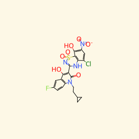 O=c1c(C2=NS(=O)(=O)c3c(O)c([N+](=O)[O-])cc(Cl)c3N2)c(O)c2cc(F)ccc2n1CCC1CC1